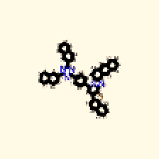 c1ccc2cc(-c3nc(-c4ccc(-c5cc6c7ccc8ccccc8c7sc6c6nc7c8cc9ccccc9cc8ccc7n56)cc4)nc(-c4ccc5ccccc5c4)n3)ccc2c1